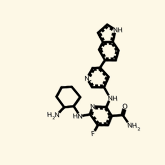 NC(=O)c1cc(F)c(NC2CCCCC2N)nc1Nc1cncc(-c2ccc3[nH]ccc3c2)c1